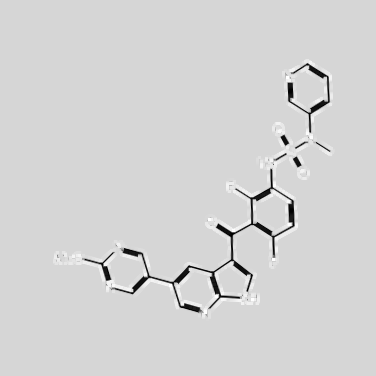 COc1ncc(-c2cnc3[nH]cc(C(=O)c4c(F)ccc(NS(=O)(=O)N(C)c5cccnc5)c4F)c3c2)cn1